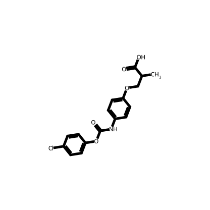 CC(COc1ccc(NC(=O)Oc2ccc(Cl)cc2)cc1)C(=O)O